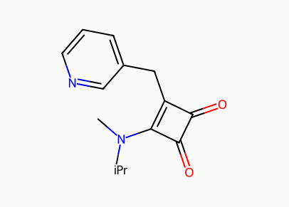 CC(C)N(C)c1c(Cc2cccnc2)c(=O)c1=O